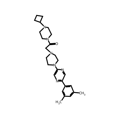 Cc1cc(C)cc(-c2cnc(N3CCN(CC(=O)N4CCN(C5CCC5)CC4)CC3)cn2)c1